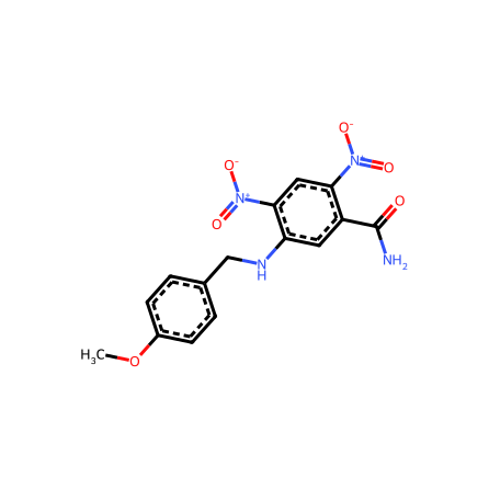 COc1ccc(CNc2cc(C(N)=O)c([N+](=O)[O-])cc2[N+](=O)[O-])cc1